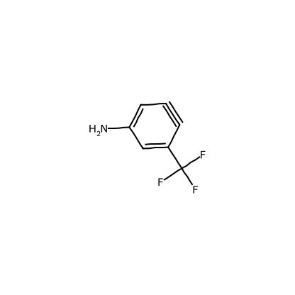 Nc1cc#cc(C(F)(F)F)c1